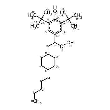 CCCCCC1CCC(CC(OO)c2cc(C(C)(C)C)c(O)c(C(C)(C)C)c2)CC1